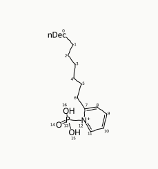 CCCCCCCCCCCCCCCCc1cccc[n+]1P(=O)(O)O